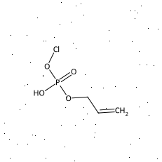 C=CCOP(=O)(O)OCl